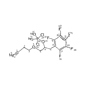 C#CCCOCC(Cc1c(F)c(F)c(F)c(F)c1F)OP(O)(O)(Cl)Cl